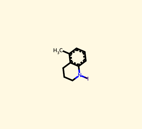 Cc1cccc2c1CCCN2I